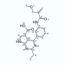 C=C(COC)C(=O)Nc1cccc(-c2nc(CC)nc3[nH]cc(C(=O)O)c23)c1